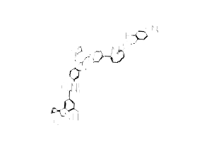 Cc1cc(C(=O)Nc2ccc3c(c2)nc(CN2CC=C(c4cccc(OCc5ccc(C#N)cc5F)n4)CC2)n3C[C@@H]2CCO2)cc2c1NC(=O)C21CC1